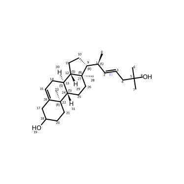 C[C@@H](/C=C/CC(C)(C)O)[C@H]1CC[C@H]2[C@@H]3CC=C4CC(O)CC[C@]4(C)[C@H]3CC[C@]12C